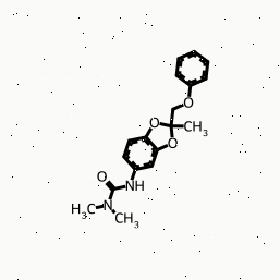 CN(C)C(=O)Nc1ccc2c(c1)OC(C)(COc1ccccc1)O2